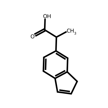 CC(C(=O)O)c1ccc2c(c1)CC=C2